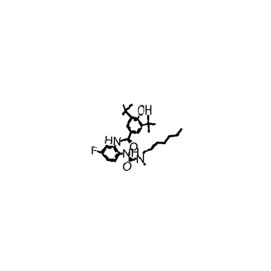 CCCCCCCN(C)C(=O)Nc1ccc(F)cc1NC(=O)c1cc(C(C)(C)C)c(O)c(C(C)(C)C)c1